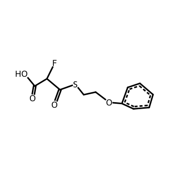 O=C(O)C(F)C(=O)SCCOc1ccccc1